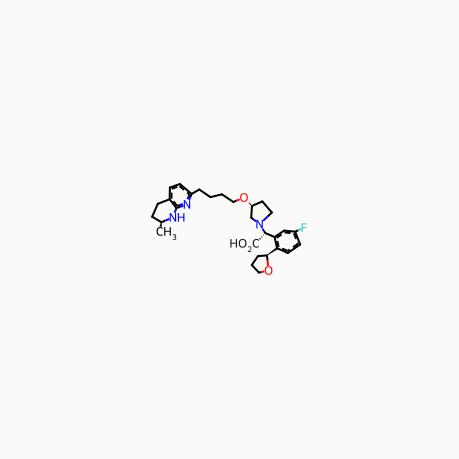 C[C@H]1CCc2ccc(CCCCO[C@@H]3CCN([C@@H](C(=O)O)c4cc(F)ccc4[C@@H]4CCCO4)C3)nc2N1